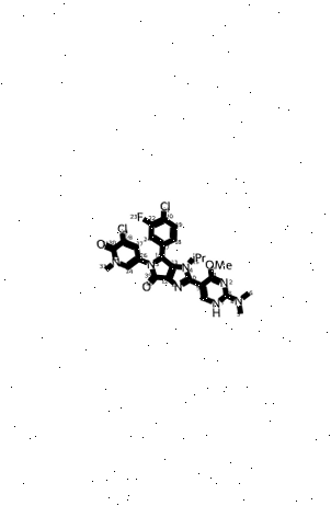 COC1=NC(N(C)C)NC=C1c1nc2c(n1C(C)C)C(c1ccc(Cl)c(F)c1)N(c1cc(Cl)c(=O)n(C)c1)C2=O